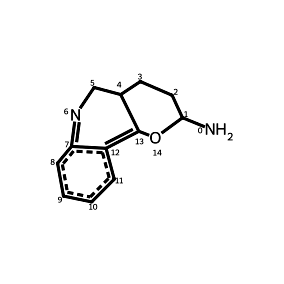 NC1CCC2CN=c3ccccc3=C2O1